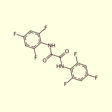 O=C(Nc1c(F)cc(F)cc1F)C(=O)Nc1c(F)cc(F)cc1F